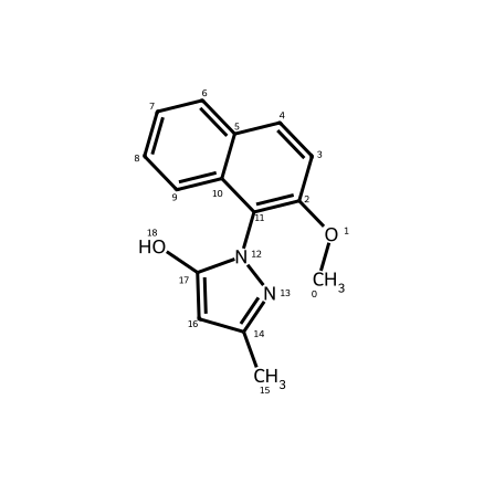 COc1ccc2ccccc2c1-n1nc(C)cc1O